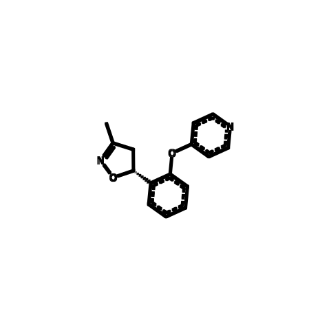 CC1=NO[C@@H](c2ccccc2Oc2ccncc2)C1